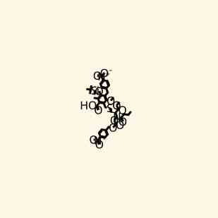 CCCC(=O)N(OC(=O)OCc1ccc([N+](=O)[O-])cc1)[C@@H](CSCc1c(OC)c(Cc2ccc([N+](=O)[O-])cc2)c(O[Si](C)(C)C(C)(C)C)c(C)c1C(=O)O)C(=O)OC